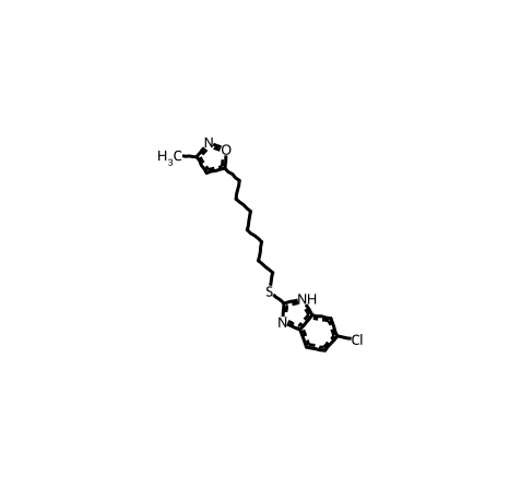 Cc1cc(CCCCCCCSc2nc3ccc(Cl)cc3[nH]2)on1